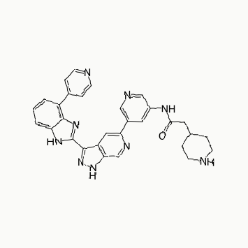 O=C(CC1CCNCC1)Nc1cncc(-c2cc3c(-c4nc5c(-c6ccncc6)cccc5[nH]4)n[nH]c3cn2)c1